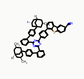 C[C@@H]1C[C@@H]2C[C@H](C)CC(c3ccc(-c4ccccc4-c4nc(-c5ccc(-c6cccc7c6sc6ccc(C#N)cc67)cc5)nc(-c5ccccc5-c5ccc(C67C[C@@H](C)C[C@@H](C[C@@H](I)C6)C7)cc5)n4)cc3)(C1)C2